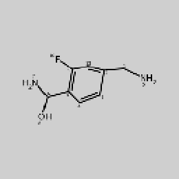 NCc1ccc(C(N)O)c(F)c1